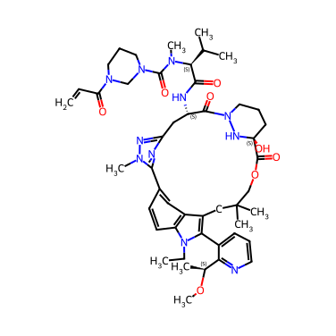 C=CC(=O)N1CCCN(C(=O)N(C)[C@H](C(=O)N[C@H]2Cc3nc(n(C)n3)-c3ccc4c(c3)c(c(-c3cccnc3[C@H](C)OC)n4CC)CC(C)(C)COC(=O)[C@@]3(O)CCCN(N3)C2=O)C(C)C)C1